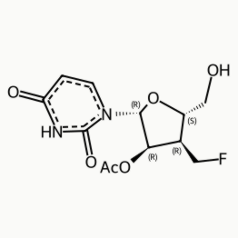 CC(=O)O[C@@H]1[C@H](CF)[C@@H](CO)O[C@H]1n1ccc(=O)[nH]c1=O